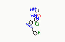 O=C(Nc1cc(-c2ccc3ncn(CCc4cccc(F)c4)c3c2)c(Cl)cn1)[C@@H]1CCCNC1